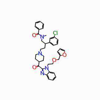 CN(CC(CCN1CCC(C(=O)c2nc3ccccc3n2CCOCc2ccco2)CC1)c1cccc(Cl)c1)C(=O)c1ccccc1